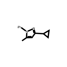 Cc1cc(C2CC2)nn1C(C)C